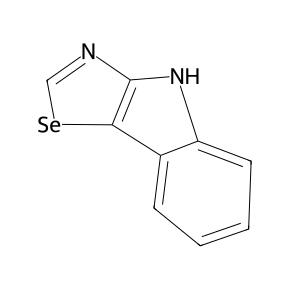 c1ccc2c(c1)[nH]c1nc[se]c12